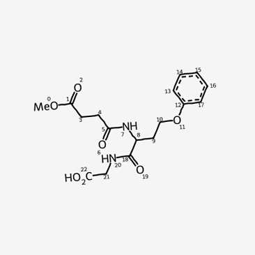 COC(=O)CCC(=O)NC(CCOc1ccccc1)C(=O)NCC(=O)O